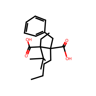 CCCCC(Cc1ccccc1)(C(=O)O)C(CC)(C(=O)O)C(C)(C)C